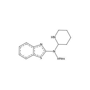 CCCCCCN(c1nc2ccccc2s1)C1CCCCN1